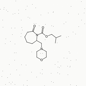 CC(C)COC(=O)N1C(=O)CCCCC1CN1CCOCC1